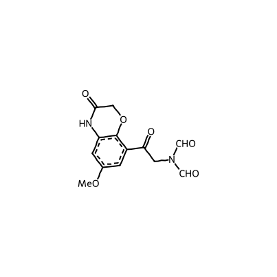 COc1cc2c(c(C(=O)CN(C=O)C=O)c1)OCC(=O)N2